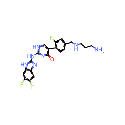 NCCCNCc1ccc(-c2c[nH]c(Nc3nc4cc(F)c(F)cc4[nH]3)nc2=O)c(F)c1